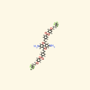 Cc1c(N)ccc(-c2ccc(N)cc2C(=O)/C=C/c2ccc(C(=O)Oc3ccc(OCCCC(F)(F)C(F)(F)F)cc3)cc2)c1C(=O)/C=C/c1ccc(C(=O)Oc2ccc(OCCCC(F)(F)C(F)(F)F)cc2)cc1